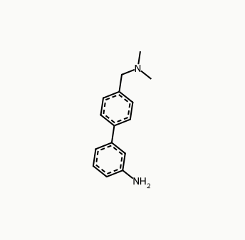 CN(C)Cc1ccc(-c2cccc(N)c2)cc1